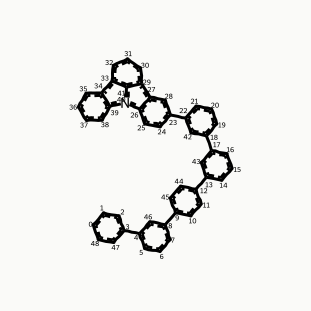 c1ccc(-c2cccc(-c3ccc(-c4cccc(-c5cccc(-c6ccc7c(c6)c6cccc8c9ccccc9n7c86)c5)c4)cc3)c2)cc1